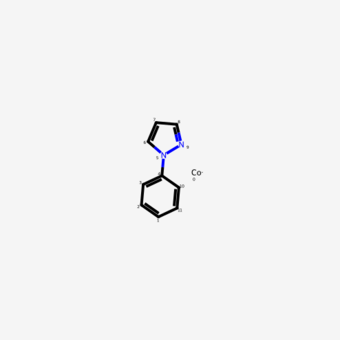 [Co].c1ccc(-n2cccn2)cc1